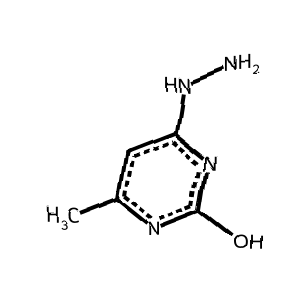 Cc1cc(NN)nc(O)n1